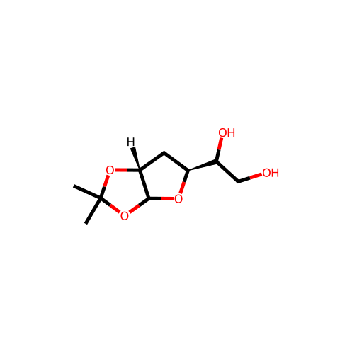 CC1(C)OC2O[C@H](C(O)CO)C[C@H]2O1